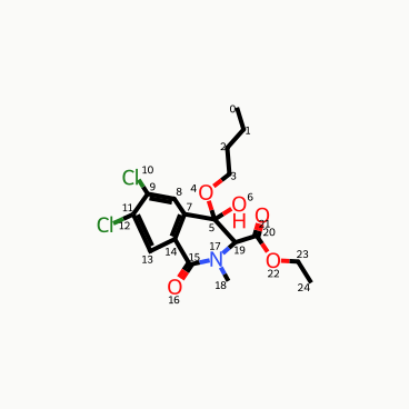 CCCCOC1(O)c2cc(Cl)c(Cl)cc2C(=O)N(C)C1C(=O)OCC